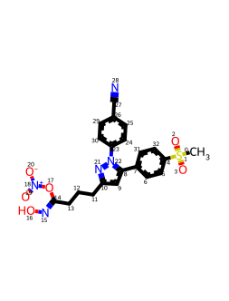 CS(=O)(=O)c1ccc(-c2cc(CCCC(=NO)O[N+](=O)[O-])nn2-c2ccc(C#N)cc2)cc1